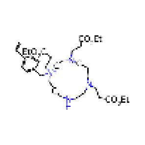 C=Cc1ccc(C[N+]2(CCC(=O)OCC)CCCNCCN(CCC(=O)OCC)CCCN(CCC(=O)OCC)CC2)cc1